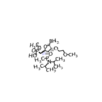 B[C@@H]1O/C(=C\P(=O)(O)OC)[C@@H](OP(C)N(C(C)C)C(C)C)[C@H]1OCCOC